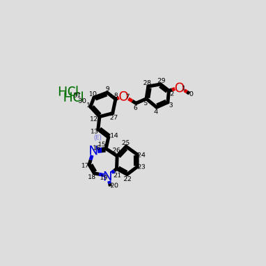 COc1ccc(COC2C=CC=C(/C=C/C3=NC=CN(C)c4ccccc43)C2)cc1.Cl.Cl